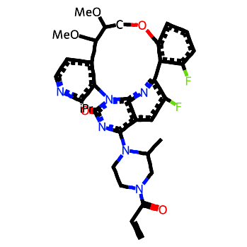 C=CC(=O)N1CCN(c2nc(=O)n3c4nc(c(F)cc24)-c2c(F)cccc2OCC(OC)C(OC)c2ccnc(C(C)C)c2-3)C(C)C1